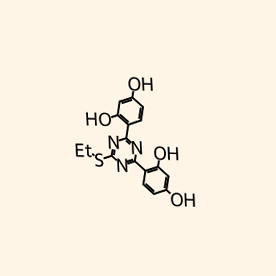 CCSc1nc(-c2ccc(O)cc2O)nc(-c2ccc(O)cc2O)n1